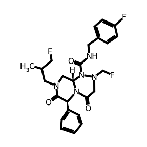 CC(CF)CN1C[C@H]2N(C(=O)CN(CF)N2C(=O)NCc2ccc(F)cc2)[C@@H](c2ccccc2)C1=O